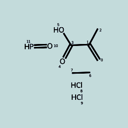 C=C(C)C(=O)O.CC.Cl.Cl.O=P